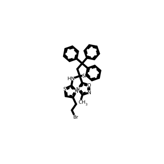 Cc1noc(C(S)(CC(c2ccccc2)(c2ccccc2)c2ccccc2)Nc2nc(CCBr)cs2)n1